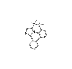 CC1(C)c2cnc3c4ccccc4c4cccc(c4n23)S1(C)C